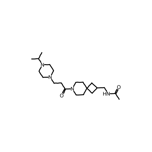 CC(=O)NCC1CC2(CCN(C(=O)CCN3CCN(C(C)C)CC3)CC2)C1